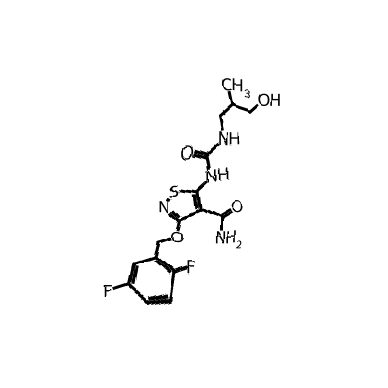 CC(CO)CNC(=O)Nc1snc(OCc2cc(F)ccc2F)c1C(N)=O